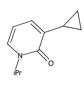 CC(C)n1cccc(C2CC2)c1=O